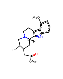 CCC1CN2CCc3c([nH]c4cccc(OC)c34)[C@@H]2CC1CC(=O)OC